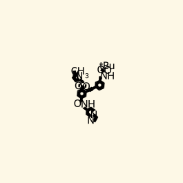 Cn1ccc(CS(=O)(=O)c2ccc(C(=O)NCc3ccn4ccnc4c3)cc2C#Cc2cccc(CNC(=O)OC(C)(C)C)c2)n1